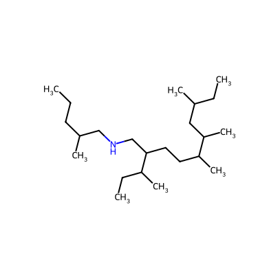 CCCC(C)CNCC(CCC(C)C(C)CC(C)CC)C(C)CC